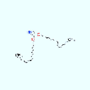 CCCCC/C=C\C/C=C\CCCCCCCCOC[C@H]1CNC[C@@H]1COCCCCCCCC/C=C\C/C=C\CCCCC